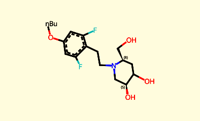 CCCCOc1cc(F)c(CCN2C[C@H](O)C(O)C[C@@H]2CO)c(F)c1